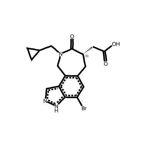 O=C(O)C[C@@H]1Cc2cc(Br)c3[nH]ncc3c2CN(CC2CC2)C1=O